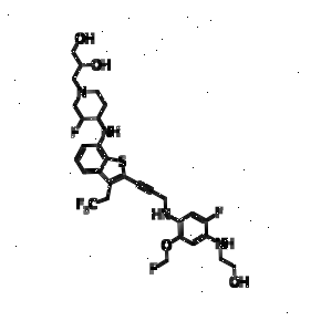 OCCNc1cc(OCF)c(NCC#Cc2sc3c(NC4CCN(CC(O)CO)CC4F)cccc3c2CC(F)(F)F)cc1F